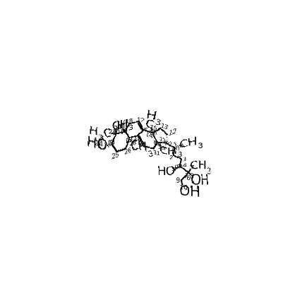 C[C@H](CC[C@H](O)C(C)(O)CO)[C@H]1CC[C@@]2(C)C3=CC[C@H]4C(C)(C)[C@@H](O)CC[C@]4(C)C3=CC[C@]12C